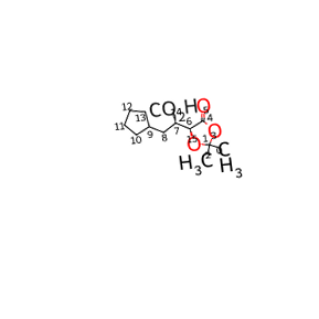 CC1(C)OC(=O)[C@H]([C@@H](CC2CCCC2)C(=O)O)O1